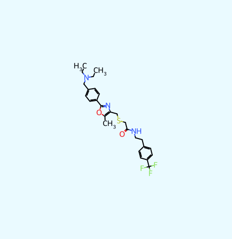 CCN(CC)Cc1ccc(-c2nc(CSCC(=O)NCCc3ccc(C(F)(F)F)cc3)c(C)o2)cc1